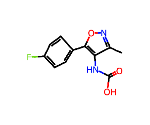 Cc1noc(-c2ccc(F)cc2)c1NC(=O)O